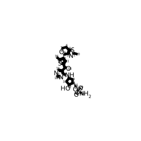 Cc1nc2c(s1)CCO[C@H]2c1cc(C(=O)c2cncnc2N[C@@H]2C[C@H](COS(N)(=O)=O)[C@@H](O)C2)sc1C